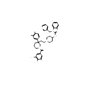 COc1cc(C(=O)N2CCCC(CCN3CCC(Nc4nc5ccccc5n4Cc4cccnc4)CC3)(c3ccc(F)c(F)c3)C2)cc(OC)c1OC